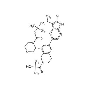 CCc1c(Cl)[nH]c2ncc(-c3cc4c(c([C@@H]5COCCN5C(=O)OC(C)(C)C)c3)CN(C(=O)C(C)(C)O)CC4)cc12